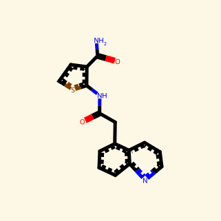 NC(=O)c1ccsc1NC(=O)Cc1cccc2ncccc12